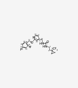 O=C(NCCC1(C(F)(F)F)CC1)NCc1ccnc(OCc2ccc(F)cc2F)c1